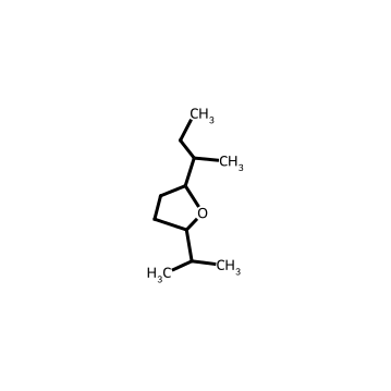 CCC(C)C1CCC(C(C)C)O1